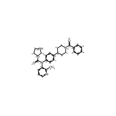 Cc1ncccc1N(C(=O)[C@H]1CCNC1)c1ccc(C2CCN(C(=O)c3ccccc3)CC2)cc1